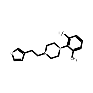 Cc1cccc(C)c1N1CCN(CCc2ccoc2)CC1